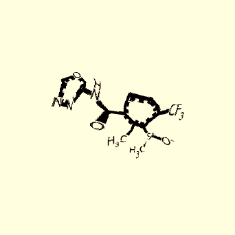 Cc1c(C(=O)Nc2nnco2)ccc(C(F)(F)F)c1[S@@+](C)[O-]